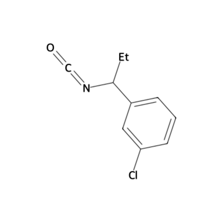 CCC(N=C=O)c1cccc(Cl)c1